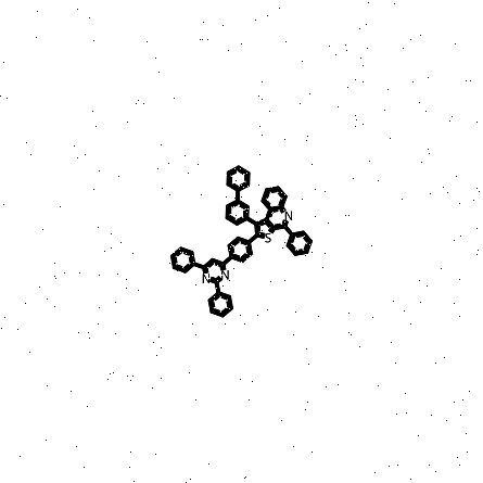 c1ccc(-c2cccc(-c3c(-c4ccc(-c5cc(-c6ccccc6)nc(-c6ccccc6)n5)cc4)sc4c(-c5ccccc5)nc5ccccc5c34)c2)cc1